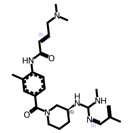 C=C(C)/C=N\C(NC)N[C@H]1CCCN(C(=O)c2ccc(NC(=O)/C=C/CN(C)C)c(C)c2)C1